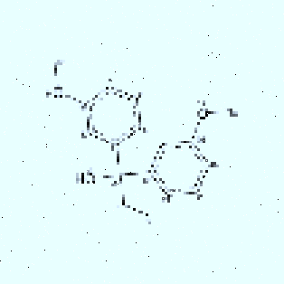 CCC(O)(c1cccc(OC)c1)c1cccc(OC)c1